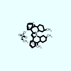 CC1CCC(C(C)C)C(n2c(-c3ccccc3)cc(-c3ccccc3)[n+]2C2CC(C)CCC2C(C)C)C1.COS(=O)(=O)[O-]